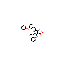 CCCc1nc(Cc2cccc(Oc3ccccc3)c2)c(C)c(C(O)O)c1Oc1ccccc1